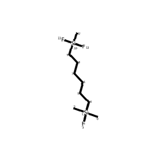 C[Si](C)(F)CCCCCC[Si](C)(F)F